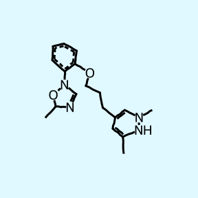 CC1=CC(CCCOc2ccccc2N2C=NC(C)O2)=CN(C)N1